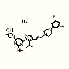 CC(C)c1c(C=CCN2CCN(c3cc(F)cc(F)c3)CC2)cnn1-c1cc(N2CC(C)(O)C2)nc(N)n1.Cl